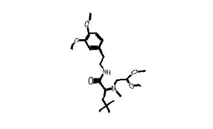 COc1ccc(CCNC(=O)C(CC(C)(C)C)N(C)CC(OC)OC)cc1OC